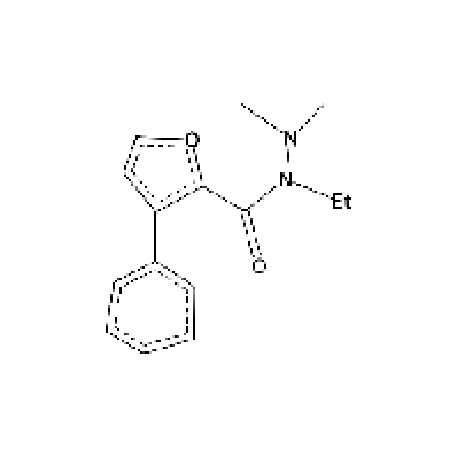 CCN(C(=O)c1occc1-c1ccccc1)N(C)C